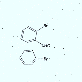 Brc1ccccc1.O=Cc1ccccc1Br